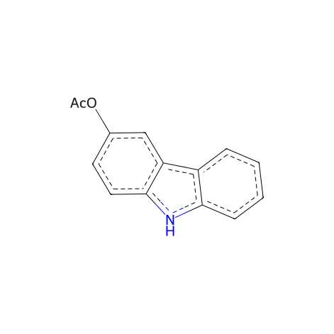 CC(=O)Oc1ccc2[nH]c3ccccc3c2c1